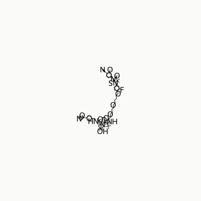 COc1cc(N2C(=O)C(C)(C)N(c3ccc(OCCCCOCCCOCC(=O)N[C@H](C(=O)N4C[C@H](O)C[C@H]4C(=O)NCc4ccc(-c5cnco5)cc4)C(C)(C)C)c(F)c3)C2=S)ccc1C#N